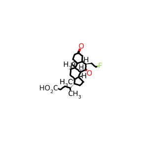 CC(CCC(=O)O)[C@H]1CC[C@H]2[C@@H]3C(=O)[C@H](CCF)[C@@H]4CC(=O)CC[C@]4(C)[C@H]3CC[C@]12C